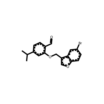 CC(C)c1ccc(C=O)c(OCc2coc3ccc(Br)cc23)c1